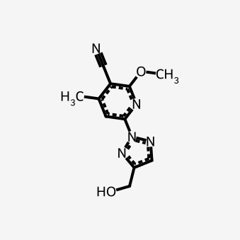 COc1nc(-n2ncc(CO)n2)cc(C)c1C#N